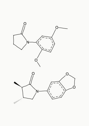 COc1ccc(OC)c(N2CCCC2=O)c1.C[C@H]1CN(c2ccc3c(c2)OCO3)C(=O)[C@@H]1C